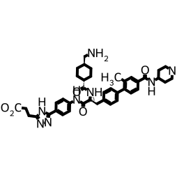 Cc1cc(C(=O)NC2CCNCC2)ccc1-c1ccc(C[C@H](NC(=O)[C@H]2CC[C@H](CN)CC2)C(=O)Nc2ccc(-c3nnc(CCC(=O)O)[nH]3)cc2)cc1